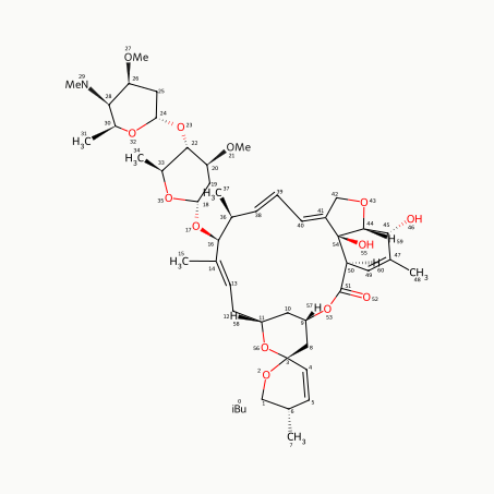 CC[C@H](C)C1O[C@]2(C=C[C@@H]1C)C[C@@H]1C[C@@H](C/C=C(\C)[C@@H](O[C@H]3C[C@H](OC)[C@@H](O[C@H]4C[C@H](OC)[C@H](NC)[C@H](C)O4)[C@H](C)O3)[C@@H](C)/C=C/C=C3\CO[C@@H]4[C@H](O)C(C)=C[C@@H](C(=O)O1)[C@]34O)O2